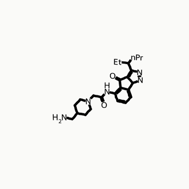 CCCC(CC)C1=C2C(=O)c3c(NC(=O)CN4CCC(CN)CC4)cccc3C2N=N1